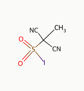 CC(C#N)(C#N)S(=O)(=O)I